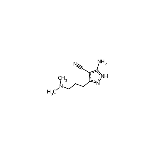 CN(C)CCCc1n[nH]c(N)c1C#N